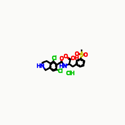 CS(=O)(=O)c1cccc(CC(NC(=O)c2c(Cl)cc3c(c2Cl)CCNC3)C(=O)O)c1.Cl